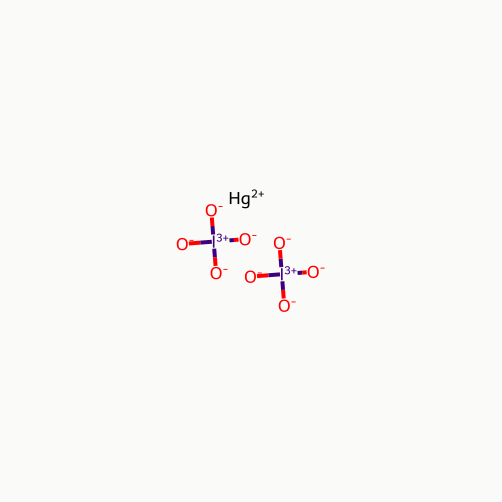 [Hg+2].[O-][I+3]([O-])([O-])[O-].[O-][I+3]([O-])([O-])[O-]